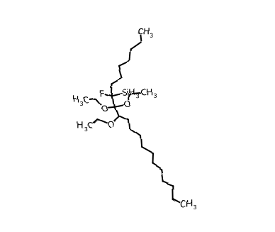 CCCCCCCCCCCC(OCC)C(OCC)(OCC)C(F)([SiH3])CCCCCCC